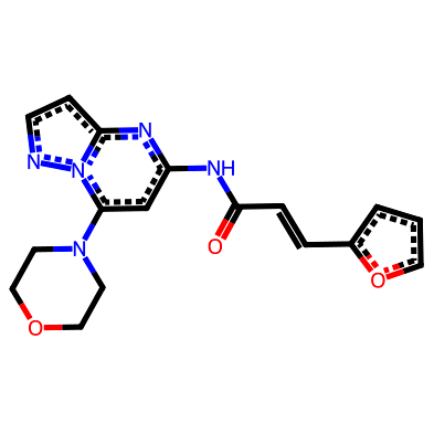 O=C(/C=C/c1ccco1)Nc1cc(N2CCOCC2)n2nccc2n1